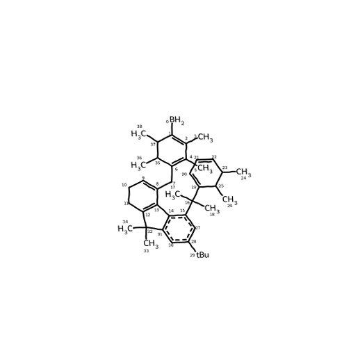 BC1=C(C)C(C)=C(CC2=CCCC3=C2c2c(C(C)(C)C4=CC=CC(C)C4C)cc(C(C)(C)C)cc2C3(C)C)C(C)C1C